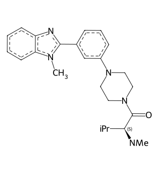 CN[C@H](C(=O)N1CCN(c2cccc(-c3nc4ccccc4n3C)c2)CC1)C(C)C